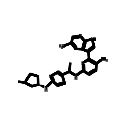 CC(Nc1ncc(N)c(-c2c[nH]c3ncc(C(F)(F)F)cc23)n1)c1ccc(N[C@H]2CCN(C)C2)nc1